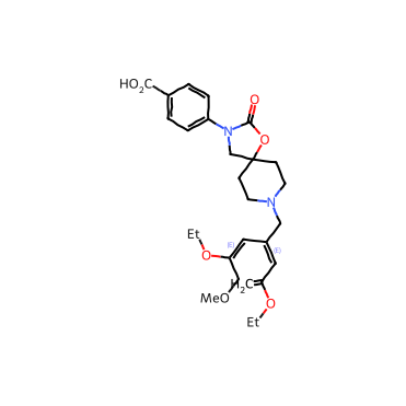 C=C(/C=C(\C=C(/COC)OCC)CN1CCC2(CC1)CN(c1ccc(C(=O)O)cc1)C(=O)O2)OCC